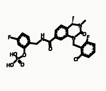 C[C@H]1c2ccc(C(=O)NCc3ccc(F)cc3OP(=O)(O)O)cc2N(Cc2c(F)cccc2Cl)C(=O)N1C